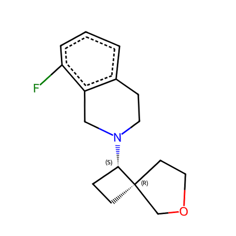 Fc1cccc2c1CN([C@H]1CC[C@@]13CCOC3)CC2